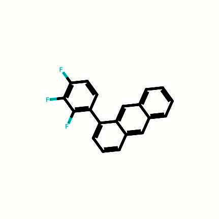 Fc1ccc(-c2cccc3cc4ccccc4cc23)c(F)c1F